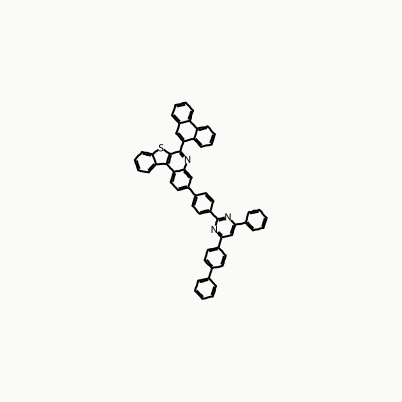 c1ccc(-c2ccc(-c3cc(-c4ccccc4)nc(-c4ccc(-c5ccc6c(c5)nc(-c5cc7ccccc7c7ccccc57)c5sc7ccccc7c56)cc4)n3)cc2)cc1